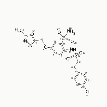 Cc1nnc(COc2ccc(NS(=O)(=O)CCc3ccc(Cl)cc3)c(S(N)(=O)=O)c2)o1